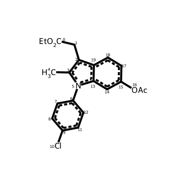 CCOC(=O)Cc1c(C)n(-c2ccc(Cl)cc2)c2cc(OC(C)=O)ccc12